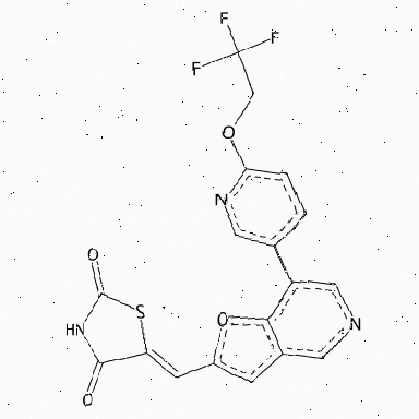 O=C1NC(=O)C(=Cc2cc3cncc(-c4ccc(OCC(F)(F)F)nc4)c3o2)S1